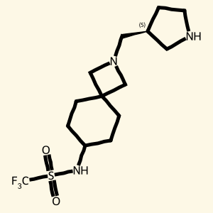 O=S(=O)(NC1CCC2(CC1)CN(C[C@H]1CCNC1)C2)C(F)(F)F